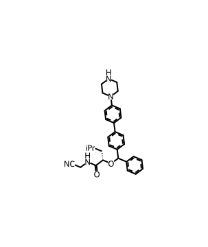 CC(C)C[C@H](OC(c1ccccc1)c1ccc(-c2ccc(N3CCNCC3)cc2)cc1)C(=O)NCC#N